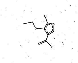 CCOc1c(C(=O)Cl)csc1Cl